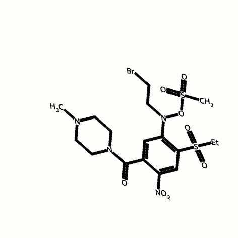 CCS(=O)(=O)c1cc([N+](=O)[O-])c(C(=O)N2CCN(C)CC2)cc1N(CCBr)OS(C)(=O)=O